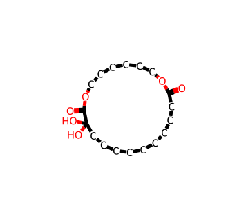 O=C1CCCCCCCCCC(O)(O)C(=O)OCCCCCCO1